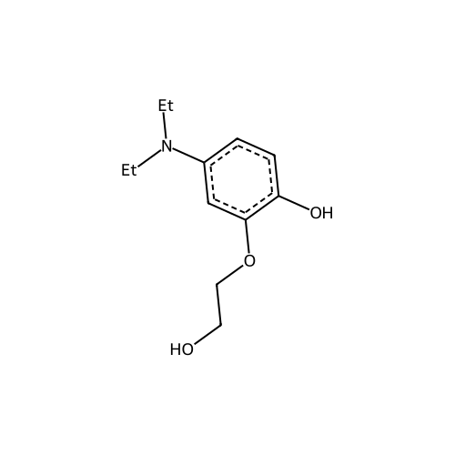 CCN(CC)c1ccc(O)c(OCCO)c1